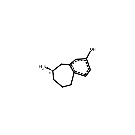 N[C@@H]1CCCc2ccc(O)cc2C1